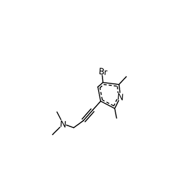 Cc1nc(C)c(C#CCN(C)C)cc1Br